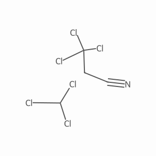 ClC(Cl)Cl.N#CCC(Cl)(Cl)Cl